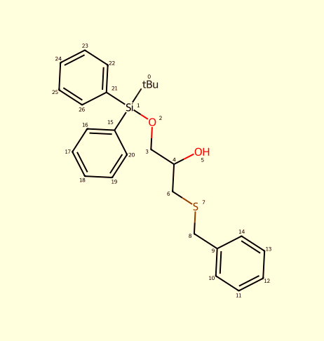 CC(C)(C)[Si](OCC(O)CSCc1ccccc1)(c1ccccc1)c1ccccc1